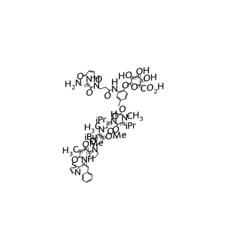 CC[C@H](C)[C@@H]([C@@H](CC(=O)N1CCC[C@H]1[C@H](OC)[C@@H](C)C(=O)N[C@@H](Cc1ccccc1)c1nccs1)OC)N(C)C(=O)[C@@H](NC(=O)[C@H](C(C)C)N(C)C(=O)OCc1ccc(O[C@@H]2O[C@H](C(=O)O)[C@@H](O)[C@H](O)[C@H]2O)c(NC(=O)CCNC(=O)[C@H](CN)N2C(=O)C=CC2=O)c1)C(C)C